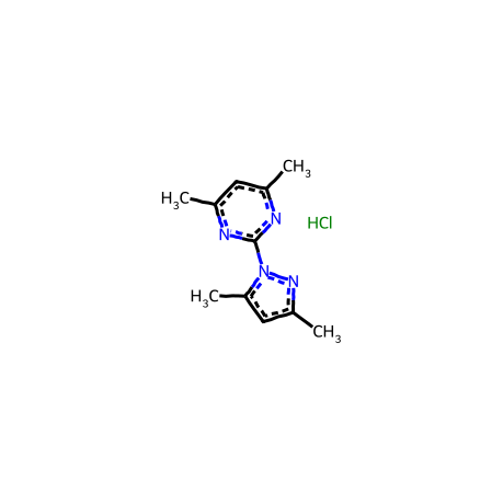 Cc1cc(C)nc(-n2nc(C)cc2C)n1.Cl